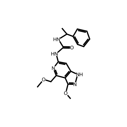 COCc1nc(NC(=O)NC(C)c2ccccc2)cc2[nH]nc(OC)c12